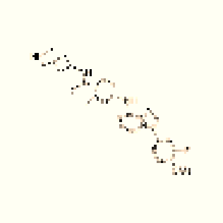 COc1ccc(-c2cnc3c(Nc4ccc(C(=O)NC5CC6(CNC6)C5)c(C)c4)nccn23)cc1F